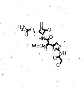 CON=C(C(=O)N[C@H]1C(=O)N[C@H]1COC(N)=O)c1csc(NC(=O)CCl)n1